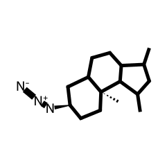 CC1CC(C)C2C1CCC1C[C@H](N=[N+]=[N-])CC[C@@]12C